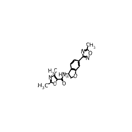 Cc1nc(-c2ccc3c(c2)OC[C@H]3NC(=O)c2oc(C)nc2C)no1